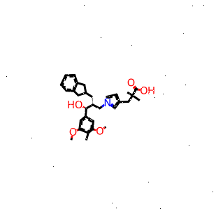 COc1cc([C@@H](O)[C@H](CC2Cc3ccccc3C2)Cn2ccc(CC(C)(C)C(=O)O)c2)cc(OC)c1C